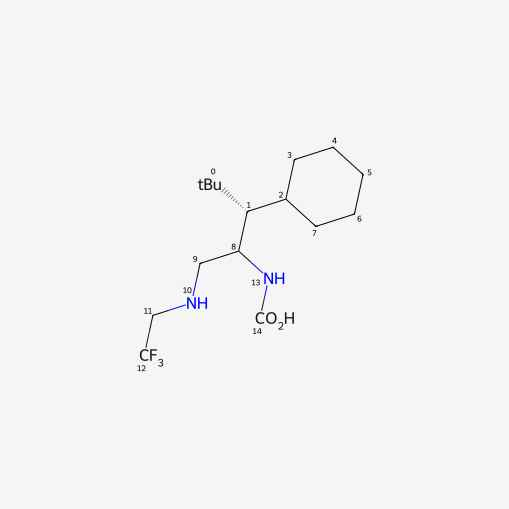 CC(C)(C)[C@H](C1CCCCC1)C(CNCC(F)(F)F)NC(=O)O